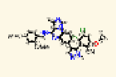 COc1ccc(CNc2nc3cc(-c4cnn(C)c4-c4c(F)c(Cl)cc(OC5CC5)c4C#N)ccc3n3cnc(C)c23)c(OC)c1